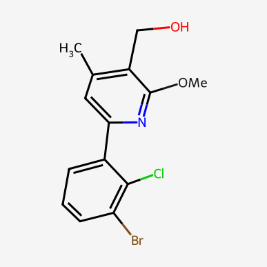 COc1nc(-c2cccc(Br)c2Cl)cc(C)c1CO